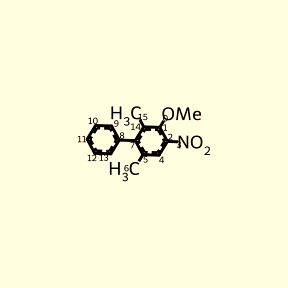 COc1c([N+](=O)[O-])cc(C)c(-c2ccccc2)c1C